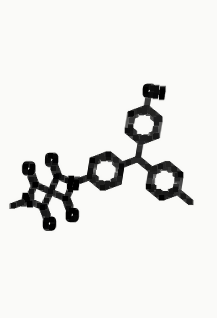 Cc1ccc(C(c2ccc(O)cc2)c2ccc(N3C(=O)C4(C(=O)N(C)C4=O)C3=O)cc2)cc1